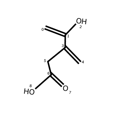 C=C(O)C(=C)CC(=O)O